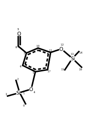 C[Si](C)(C)Oc1cc([C]=O)cc(O[Si](C)(C)C)c1